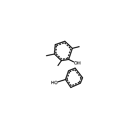 Cc1ccc(C)c(O)c1C.Oc1ccccc1